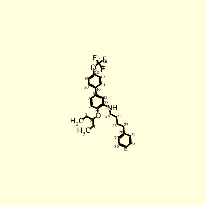 CCC(CC)Oc1ccc(-c2ccc(OC(F)(F)F)cc2)cc1NCCCCc1ccccc1